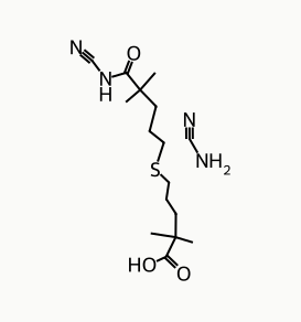 CC(C)(CCCSCCCC(C)(C)C(=O)NC#N)C(=O)O.N#CN